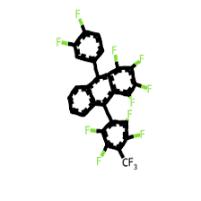 Fc1ccc(-c2c3ccccc3c(-c3c(F)c(F)c(C(F)(F)F)c(F)c3F)c3c(F)c(F)c(F)c(F)c23)cc1F